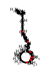 CO[C@H]1C[C@@H]2CC[C@@H](C)[C@@](O)(O2)C(=O)C(=O)N2CCCC[C@H]2C(=O)O[C@H]([C@H](N)C[C@@H]2CC[C@H](n3cc(-c4cnc(N5CCN(c6ncc(C(=O)NCCOCCOCCC(=O)NCCCCn7nc(-c8ccc9oc(N)nc9c8)c8c(N)ncnc87)cn6)CC5)nc4)nn3)[C@H](OC)C2)CC(=O)[C@H](C)/C=C(\C)[C@@H](O)[C@@H](O)C(=O)[C@H](C)C[C@H](C)/C=C/C=C/C=C/1C